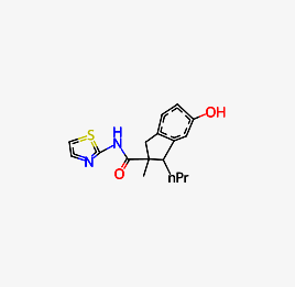 CCCC1c2cc(O)ccc2CC1(C)C(=O)Nc1nccs1